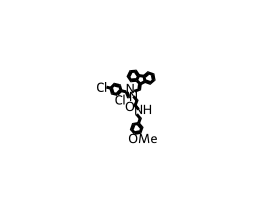 COc1ccc(CCNC(=O)Cn2cc(-c3ccc(Cl)cc3Cl)nc2C=C2c3ccccc3-c3ccccc32)cc1